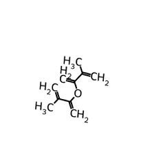 C=C(C)C(=C)OC(=C)C(=C)C